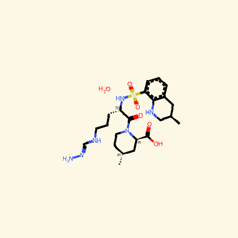 CC1CNc2c(cccc2S(=O)(=O)N[C@@H](CCCNC=NN)C(=O)N2CC[C@@H](C)C[C@@H]2C(=O)O)C1.O